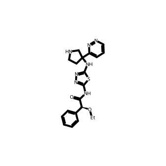 CCO[C@H](C(=O)Nc1nnc(NC2(c3cccnn3)CCNC2)s1)c1ccccc1